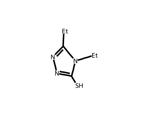 CCc1nnc(S)n1CC